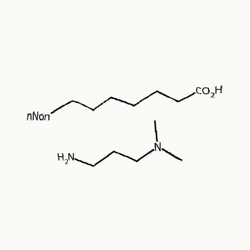 CCCCCCCCCCCCCCCC(=O)O.CN(C)CCCN